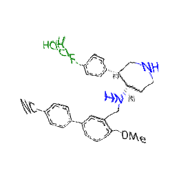 COc1ccc(-c2ccc(C#N)cc2)cc1CN[C@H]1CCNC[C@H]1c1ccc(F)cc1.Cl.Cl